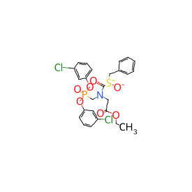 CCOC(=O)CN(CP(=O)(Oc1cccc(Cl)c1)Oc1cccc(Cl)c1)C(=O)[S+]([O-])Cc1ccccc1